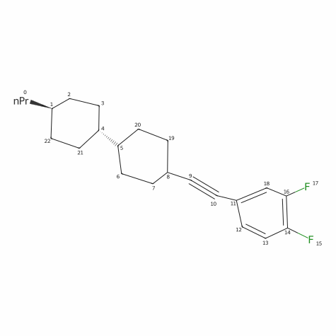 CCC[C@H]1CC[C@H](C2CCC(C#Cc3ccc(F)c(F)c3)CC2)CC1